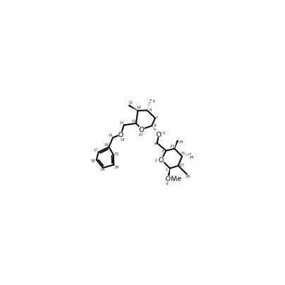 CO[C@H]1OC(CO[C@H]2C[C@@H](C)[C@H](C)C(COCc3ccccc3)O2)[C@@H](C)[C@H](C)C1C